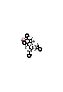 Cc1[nH]c2ccccc2c1C1=C(c2c([C@@H]3C[C@H](OC(=O)c4ccccc4)C[C@@H](CN4C(=O)c5ccccc5C4=O)O3)[nH]c3ccccc23)C(=O)NC1=O